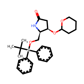 CC(C)(C)[Si](OC[C@H]1NC(=O)C[C@H]1OC1CCCCO1)(c1ccccc1)c1ccccc1